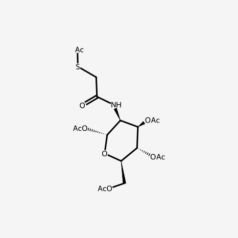 CC(=O)OC[C@H]1O[C@H](OC(C)=O)[C@@H](NC(=O)CSC(C)=O)[C@@H](OC(C)=O)[C@@H]1OC(C)=O